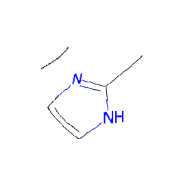 CC.Cc1ncc[nH]1